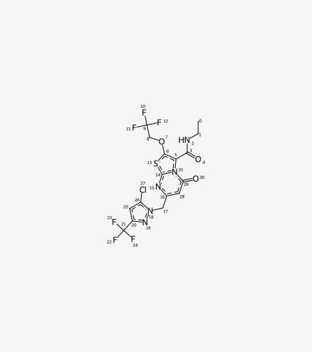 CCNC(=O)c1c(OCC(F)(F)F)sc2nc(Cn3nc(C(F)(F)F)cc3Cl)cc(=O)n12